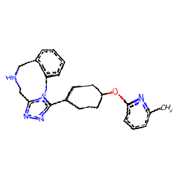 Cc1cccc(OC2CCC(c3nnc4n3-c3ccccc3CNC4)CC2)n1